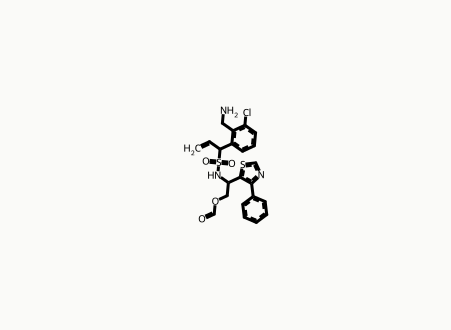 C=CC(c1cccc(Cl)c1CN)S(=O)(=O)NC(COC=O)c1scnc1-c1ccccc1